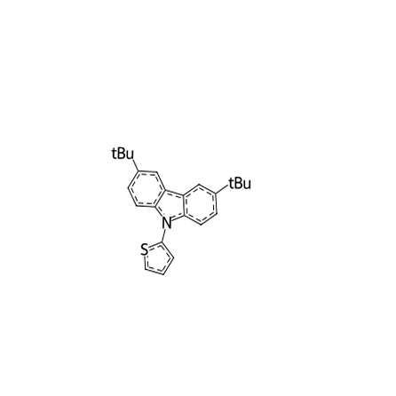 CC(C)(C)c1ccc2c(c1)c1cc(C(C)(C)C)ccc1n2-c1cccs1